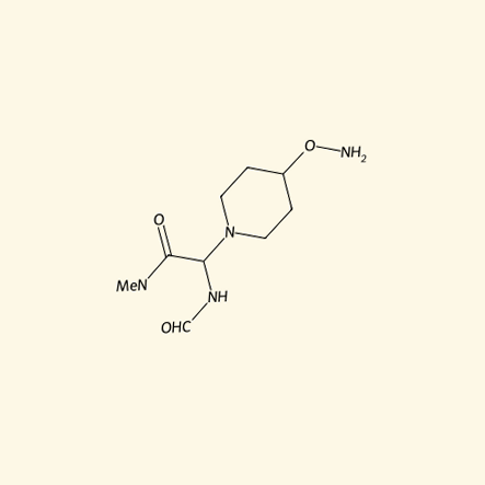 CNC(=O)C(NC=O)N1CCC(ON)CC1